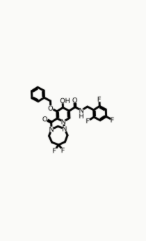 O=C(NCc1c(F)cc(F)cc1F)C1=CN2C(=C(OCc3ccccc3)C1O)C(=O)N1CCC(F)(F)CCN2C1